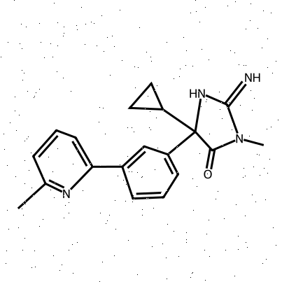 Cc1cccc(-c2cccc(C3(C4CC4)NC(=N)N(C)C3=O)c2)n1